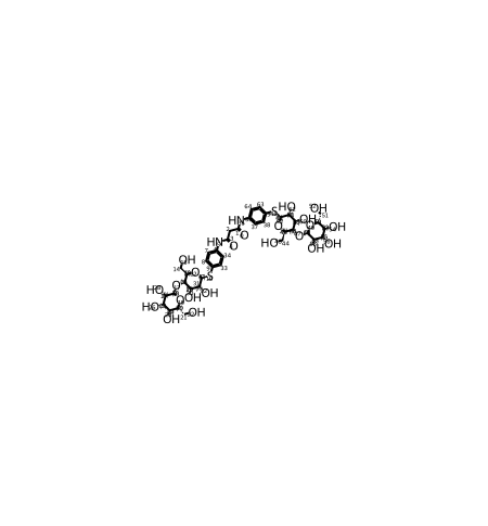 O=C(CC(=O)Nc1ccc(S[C@@H]2O[C@H](CO)[C@@H](O[C@H]3O[C@H](CO)[C@@H](O)[C@H](O)[C@H]3O)[C@H](O)[C@H]2O)cc1)Nc1ccc(S[C@@H]2O[C@H](CO)[C@@H](O[C@H]3O[C@H](CO)[C@@H](O)[C@H](O)[C@H]3O)[C@H](O)[C@H]2O)cc1